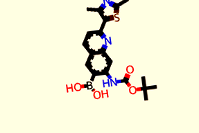 Cc1nc(C)c(-c2ccc3cc(B(O)O)c(NC(=O)OC(C)(C)C)cc3n2)s1